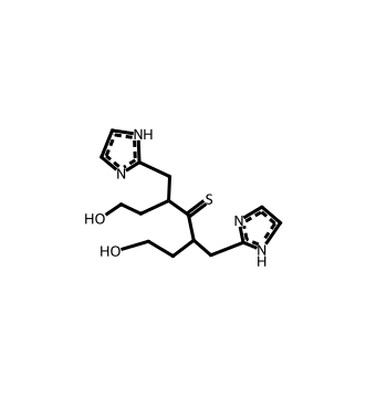 OCCC(Cc1ncc[nH]1)C(=S)C(CCO)Cc1ncc[nH]1